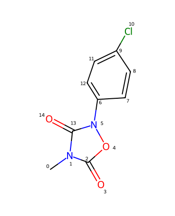 Cn1c(=O)on(-c2ccc(Cl)cc2)c1=O